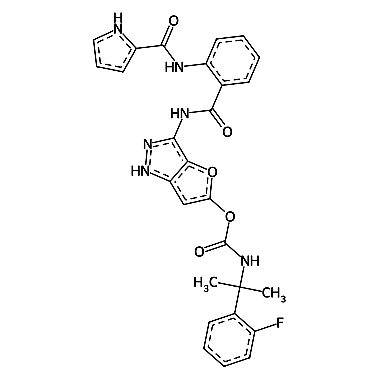 CC(C)(NC(=O)Oc1cc2[nH]nc(NC(=O)c3ccccc3NC(=O)c3ccc[nH]3)c2o1)c1ccccc1F